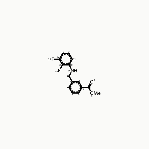 COC(=O)c1cccc(CNc2cccc(F)c2F)c1